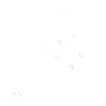 NC1=CC=C(CCn2c(=O)n(CCCO)c(=O)c3[nH]c(Cc4ccccc4)nc32)CC1